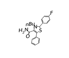 CCCCN1C(C(N)=O)=C(c2ccccc2)SC1c1ccc(F)cc1